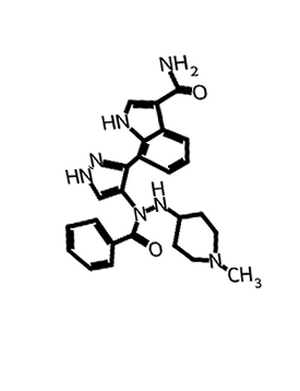 CN1CCC(NN(C(=O)c2ccccc2)c2c[nH]nc2-c2cccc3c(C(N)=O)c[nH]c23)CC1